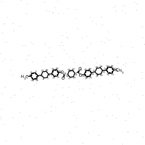 Cc1ccc(C2CCC(c3ccc(OC(=O)[C@H]4CC[C@H](C(=O)Oc5ccc(C6CCC(c7ccc(C)cc7)CC6)cc5)CC4)cc3)CC2)cc1